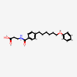 O=C(O)CCNC(=O)c1ccc(CCCCCCOc2ccccc2)cc1